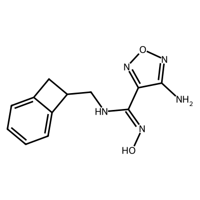 Nc1nonc1/C(=N/O)NCC1Cc2ccccc21